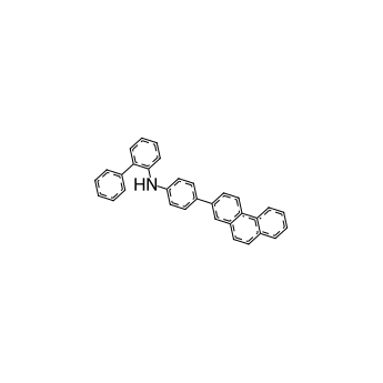 c1ccc(-c2ccccc2Nc2ccc(-c3ccc4c(ccc5ccccc54)c3)cc2)cc1